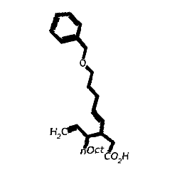 C=CC(CCCCCCCC)C(/C=C/CCCOCc1ccccc1)CC(=O)O